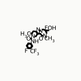 C[C@@H]1Cc2nn3c(c2CN1C(=O)Nc1ccc(F)c(C(F)(F)F)c1)C(=O)N(C)C[C@](F)(CO)C3